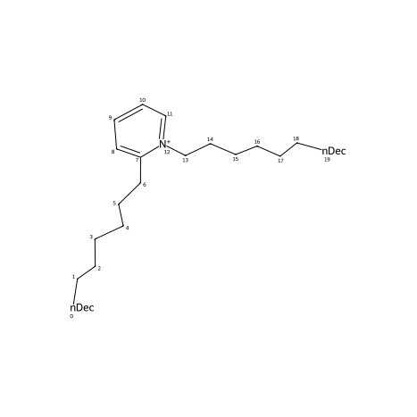 CCCCCCCCCCCCCCCCc1cccc[n+]1CCCCCCCCCCCCCCCC